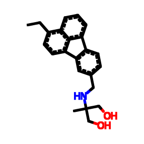 CCc1ccc2c3c(cccc13)-c1ccc(CNC(C)(CO)CO)cc1-2